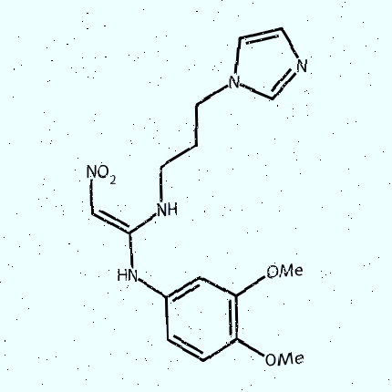 COc1ccc(NC(=C[N+](=O)[O-])NCCCn2ccnc2)cc1OC